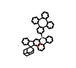 c1ccc(-c2ccccc2N(c2ccc3c(c2)-c2ccccc2-c2ccccc2-c2ccccc2-3)c2ccc3c(c2)-c2ccccc2C32C3CC4CC(C3)CC2C4)cc1